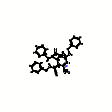 N/C(=N/C(=O)OCc1ccccc1)N(C(=O)OCc1ccccc1)C1C(=O)NC1Sc1ccccc1